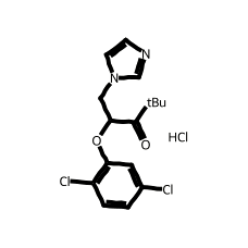 CC(C)(C)C(=O)C(Cn1ccnc1)Oc1cc(Cl)ccc1Cl.Cl